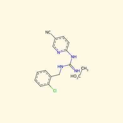 CC(=O)O.N#Cc1ccc(NC(=N)NCc2ccccc2Cl)nc1